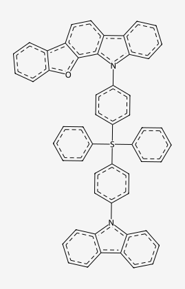 c1ccc(S(c2ccccc2)(c2ccc(-n3c4ccccc4c4ccccc43)cc2)c2ccc(-n3c4ccccc4c4ccc5c6ccccc6oc5c43)cc2)cc1